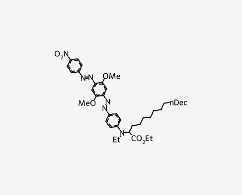 CCCCCCCCCCCCCCCCCC(C(=O)OCC)N(CC)c1ccc(N=Nc2cc(OC)c(/N=N/c3ccc([N+](=O)[O-])cc3)cc2OC)cc1